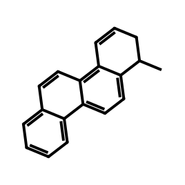 CC1CC=Cc2c1ccc1c2ccc2ccccc21